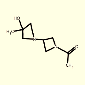 CC(=O)N1CC(N2CC(C)(O)C2)C1